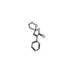 O=C1OC2(C=C1c1ccccc1)CCCO2